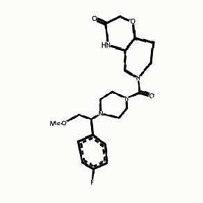 COCC(c1ccc(F)cc1)N1CCN(C(=O)N2CCC3OCC(=O)NC3C2)CC1